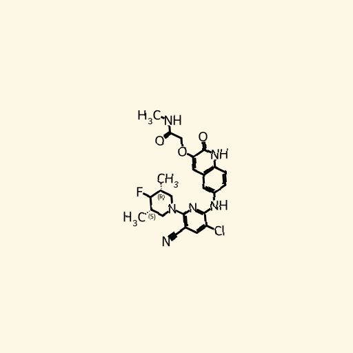 CNC(=O)COc1cc2cc(Nc3nc(N4C[C@@H](C)C(F)[C@@H](C)C4)c(C#N)cc3Cl)ccc2[nH]c1=O